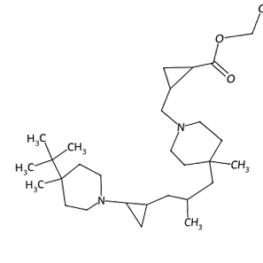 CCOC(=O)C1CC1CN1CCC(C)(CC(C)CC2CC2N2CCC(C)(C(C)(C)C)CC2)CC1